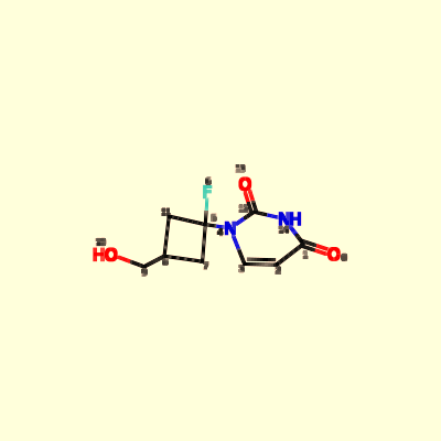 O=c1ccn(C2(F)CC(CO)C2)c(=O)[nH]1